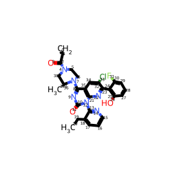 C=CC(=O)N1CCN(c2nc(=O)n(-c3ncccc3CC)c3nc(-c4c(O)cccc4F)c(Cl)cc23)[C@@H](C)C1